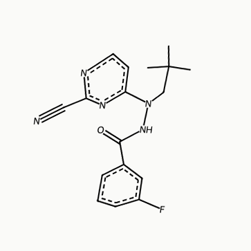 CC(C)(C)CN(NC(=O)c1cccc(F)c1)c1ccnc(C#N)n1